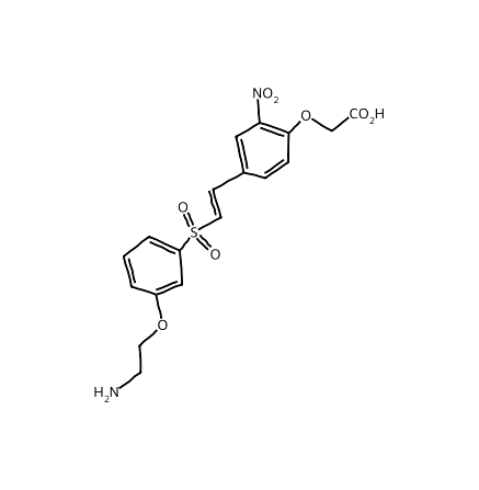 NCCOc1cccc(S(=O)(=O)/C=C/c2ccc(OCC(=O)O)c([N+](=O)[O-])c2)c1